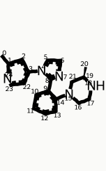 Cc1cc(-n2ccnc2-c2ccccc2N2CCN[C@H](C)C2)ccn1